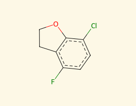 Fc1ccc(Cl)c2c1CCO2